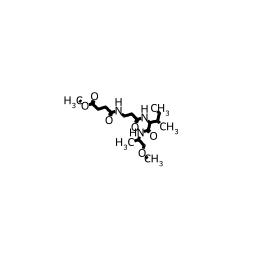 CCC(C)C(NC(=O)CCNC(=O)CCC(=O)OC)C(=O)NC(C)COC